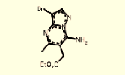 CCOC(=O)Cc1c(C)nc2c(Br)cnn2c1N